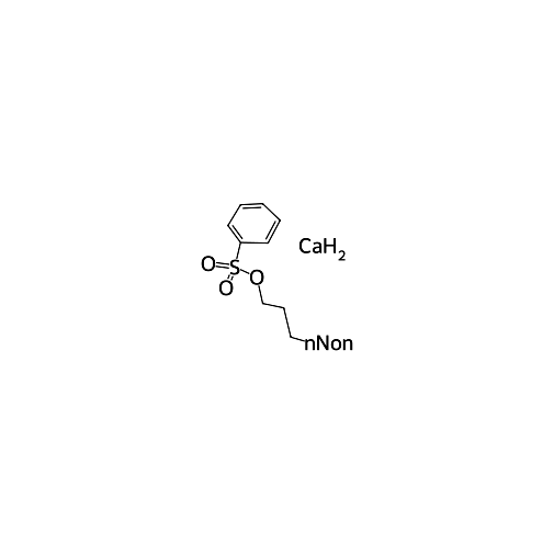 CCCCCCCCCCCCOS(=O)(=O)c1ccccc1.[CaH2]